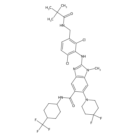 Cn1c(Nc2c(Cl)ccc(CNC(=O)C(C)(C)C)c2Cl)nc2cc(C(=O)NC3CCC(C(F)(F)F)CC3)c(N3CCC(F)(F)CC3)cc21